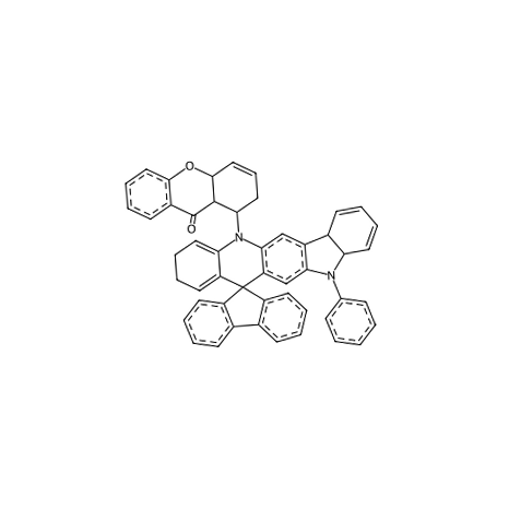 O=C1c2ccccc2OC2C=CCC(N3C4=CCCC=C4C4(c5ccccc5-c5ccccc54)c4cc5c(cc43)C3C=CC=CC3N5c3ccccc3)C12